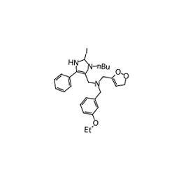 CCCCN1C(CN(CC2=CCOO2)Cc2cccc(OCC)c2)=C(c2ccccc2)NC1I